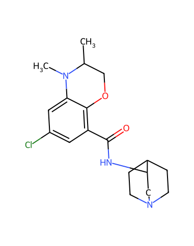 CC1COc2c(C(=O)NC3CN4CCC3CC4)cc(Cl)cc2N1C